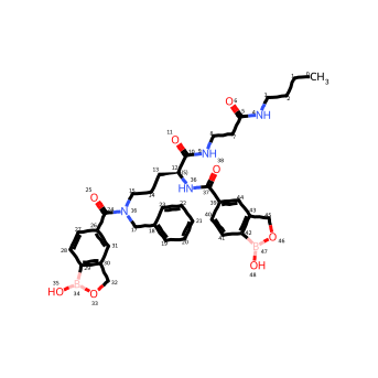 CCCCNC(=O)CCNC(=O)[C@H](CCCN(Cc1ccccc1)C(=O)c1ccc2c(c1)COB2O)NC(=O)c1ccc2c(c1)COB2O